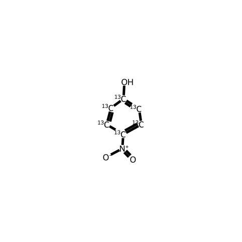 O=[N+]([O-])[13c]1[13cH][13cH][13c](O)[13cH][13cH]1